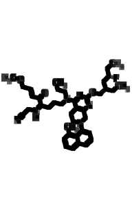 CCCN(CCC/C(=[SiH]/CC#N)C(=O)/C=C/COC)c1nc(OC[C@H](CC)C[C@@H](F)CC)nc2c1CCN(c1cccc3cccc(C)c13)C2